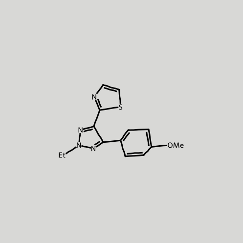 CCn1nc(-c2ccc(OC)cc2)c(-c2nccs2)n1